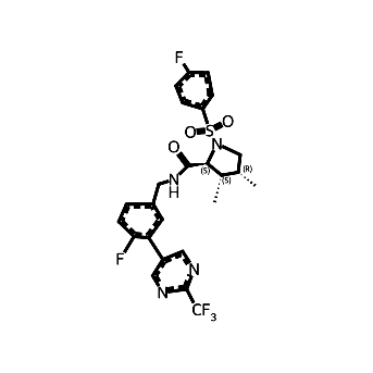 C[C@@H]1[C@@H](C(=O)NCc2ccc(F)c(-c3cnc(C(F)(F)F)nc3)c2)N(S(=O)(=O)c2ccc(F)cc2)C[C@@H]1C